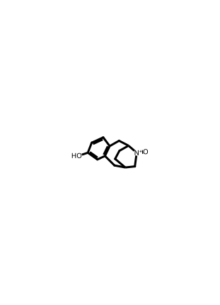 O=[N+]1CC2CCC1Cc1ccc(O)cc1C2